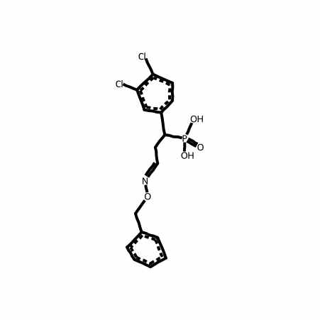 O=P(O)(O)C(CC=NOCc1ccccc1)c1ccc(Cl)c(Cl)c1